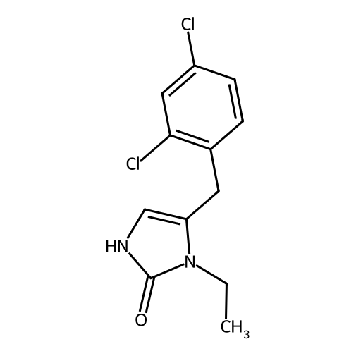 CCn1c(Cc2ccc(Cl)cc2Cl)c[nH]c1=O